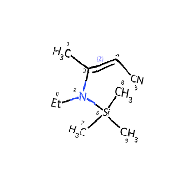 CCN(/C(C)=C\C#N)[Si](C)(C)C